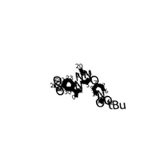 CC1=CN(c2cc(OC3CCN(C(=O)OC(C)(C)C)CC3)nc(C)n2)C2CC=C(S(C)(=O)=O)C=C12